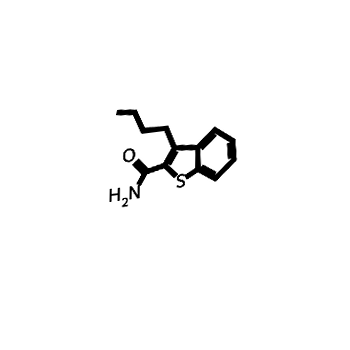 CCCCc1c(C(N)=O)sc2ccccc12